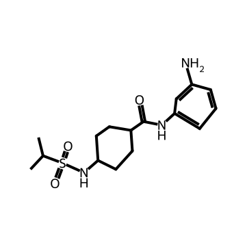 CC(C)S(=O)(=O)NC1CCC(C(=O)Nc2cccc(N)c2)CC1